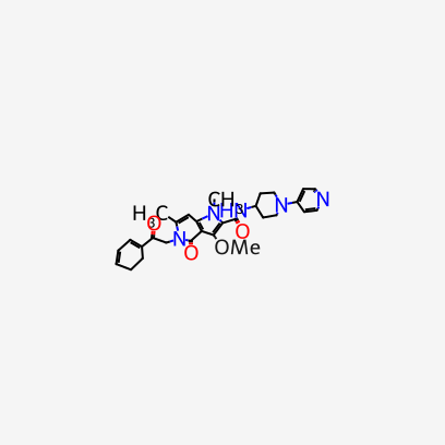 COc1c(C(=O)NC2CCN(c3ccncc3)CC2)n(C)c2cc(C)n(CC(=O)C3=CC=CCC3)c(=O)c12